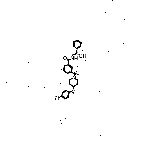 O=C(NC[C@@H](O)c1ccccc1)c1cccc(C(=O)N2CCC(Oc3ccc(Cl)cc3)CC2)c1